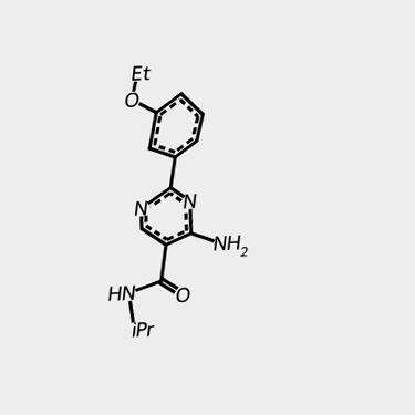 CCOc1cccc(-c2ncc(C(=O)NC(C)C)c(N)n2)c1